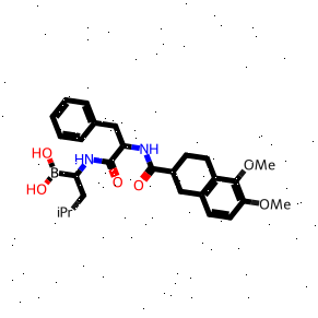 COc1ccc2c(c1OC)CCC(C(=O)NC(Cc1ccccc1)C(=O)NC(CC(C)C)B(O)O)C2